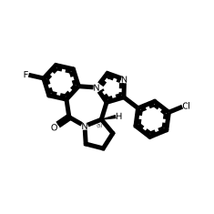 O=C1c2cc(F)ccc2-n2cnc(-c3cccc(Cl)c3)c2[C@@H]2CCCN12